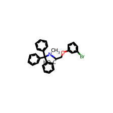 CN(C(COc1cccc(Br)c1)C(=O)O)C(c1ccccc1)(c1ccccc1)c1ccccc1